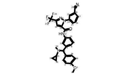 COc1ccc(C(c2cccc(NC(=O)c3cc(C(F)(F)F)nn3-c3cccc(C#N)c3)c2)N(C)C2CC2)cc1